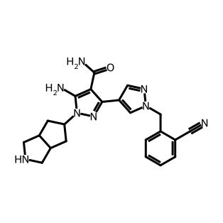 N#Cc1ccccc1Cn1cc(-c2nn(C3CC4CNCC4C3)c(N)c2C(N)=O)cn1